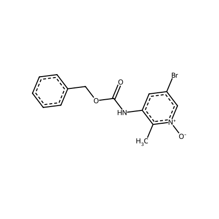 Cc1c(NC(=O)OCc2ccccc2)cc(Br)c[n+]1[O-]